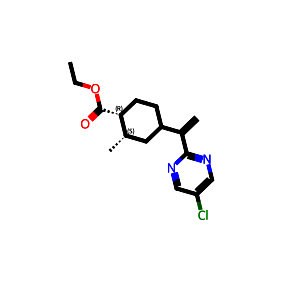 C=C(c1ncc(Cl)cn1)C1CC[C@@H](C(=O)OCC)[C@@H](C)C1